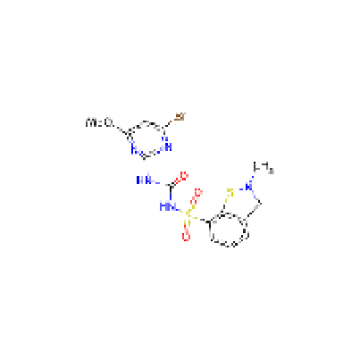 COc1cc(Br)nc(NC(=O)NS(=O)(=O)c2cccc3c2SN(C)C3)n1